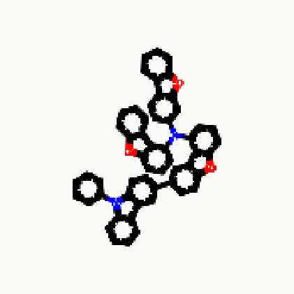 c1ccc(-n2c3ccccc3c3cc(-c4ccc5oc6cccc(N(c7ccc8c(c7)oc7ccccc78)c7cccc8oc9ccccc9c78)c6c5c4)ccc32)cc1